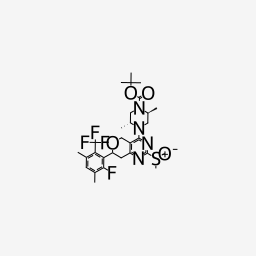 Cc1cc(C)c(C(F)(F)F)c(C2Cc3nc([S+](C)[O-])nc(N4C[C@H](C)N(C(=O)OC(C)(C)C)C[C@H]4C)c3CO2)c1F